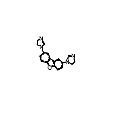 C1=NCCN1c1ccc2oc3ccc(N4C=NCC4)cc3c2c1